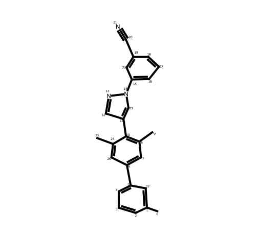 Cc1cccc(-c2cc(C)c(-c3cnn(-c4cccc(C#N)c4)c3)c(C)c2)c1